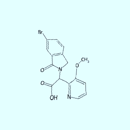 COc1cccnc1C(C(=O)O)N1Cc2ccc(Br)cc2C1=O